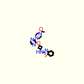 CC(=O)N1CCN(c2nccnc2O[C@H]2C[C@@H](Nc3nc4ccccc4s3)C2)CC1